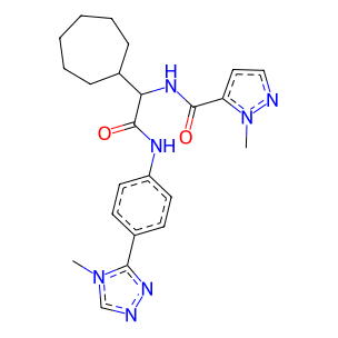 Cn1cnnc1-c1ccc(NC(=O)C(NC(=O)c2ccnn2C)C2CCCCCC2)cc1